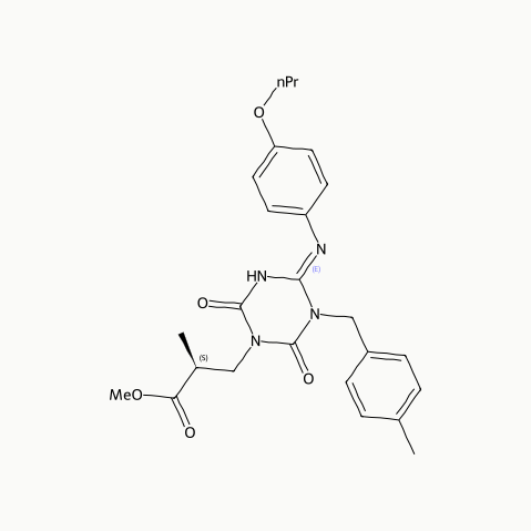 CCCOc1ccc(/N=c2\[nH]c(=O)n(C[C@H](C)C(=O)OC)c(=O)n2Cc2ccc(C)cc2)cc1